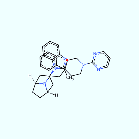 Cc1nc2ccccc2n1[C@H]1C[C@H]2CC[C@@H](C1)N2CCC1(c2ccccc2)CCN(c2ncccn2)CC1